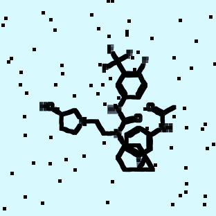 CC(=O)Nc1cccc([C@]23CC[C@@H](N(CCN4CC[C@@H](O)C4)C(=O)Nc4ccc(F)c(C(F)(F)F)c4)CC2C3)c1